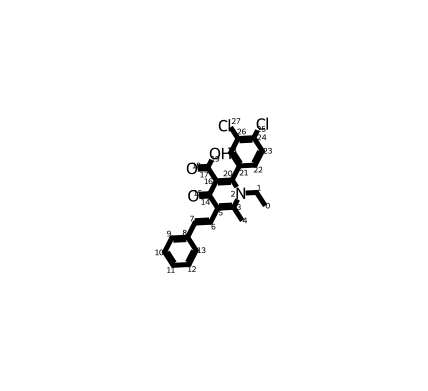 CCn1c(C)c(/C=C/c2ccccc2)c(=O)c(C(=O)O)c1-c1ccc(Cl)c(Cl)c1